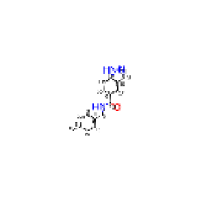 Cc1ccc(CNC(=O)c2ccc3[nH]ncc3c2)cc1